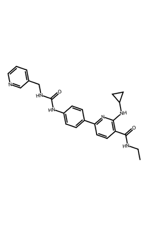 CCNC(=O)c1ccc(-c2ccc(NC(=O)NCc3cccnc3)cc2)nc1NC1CC1